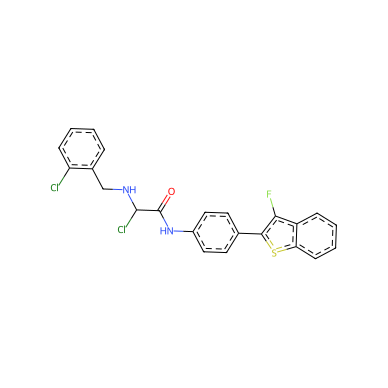 O=C(Nc1ccc(-c2sc3ccccc3c2F)cc1)C(Cl)NCc1ccccc1Cl